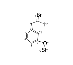 SOc1cccc(CC(Br)I)c1